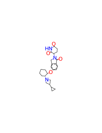 O=C1CCC(N2Cc3cc(O[C@@H]4CCCC[C@H]4N4CC(C5CC5)C4)ccc3C2=O)C(=O)N1